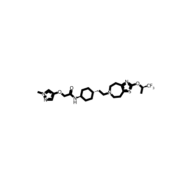 C[C@@H](Oc1nc2c(s1)CCN(CC[C@H]1CC[C@H](NC(=O)COc3cnn(C)c3)CC1)CC2)C(F)(F)F